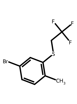 Cc1ccc(Br)cc1SCC(F)(F)F